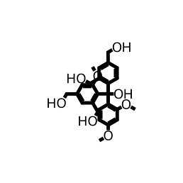 COc1ccc(C(O)(c2ccc(CO)cc2CO)c2c(CO)cc(CO)cc2OC)c(OC)c1